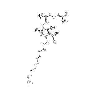 CCCCCCCCCCCCCc1cc(O)c(C/C=C(\C)CCC=C(C)C)c(O)c1C(=O)O